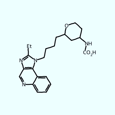 CCc1nc2cnc3ccccc3c2n1CCCCC1CC(NC(=O)O)CCO1